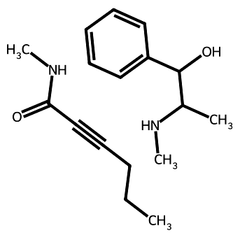 CCCC#CC(=O)NC.CNC(C)C(O)c1ccccc1